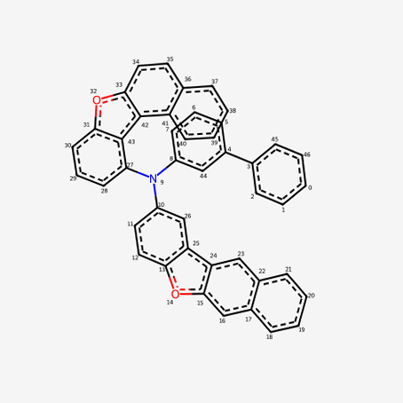 c1ccc(-c2cccc(N(c3ccc4oc5cc6ccccc6cc5c4c3)c3cccc4oc5ccc6ccccc6c5c34)c2)cc1